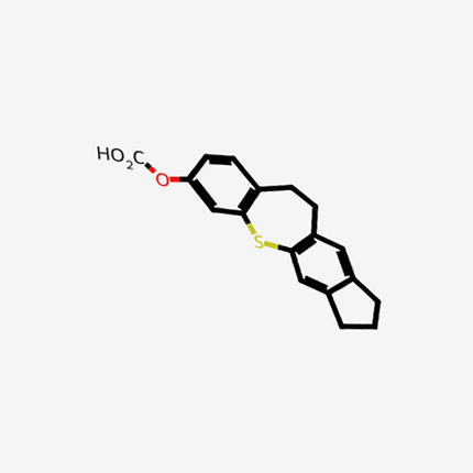 O=C(O)Oc1ccc2c(c1)Sc1cc3c(cc1CC2)CCC3